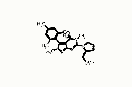 COCC1CCCN1c1nc2nn(C)c(-c3c(C)cc(C)cc3C)c2c(=O)n1C